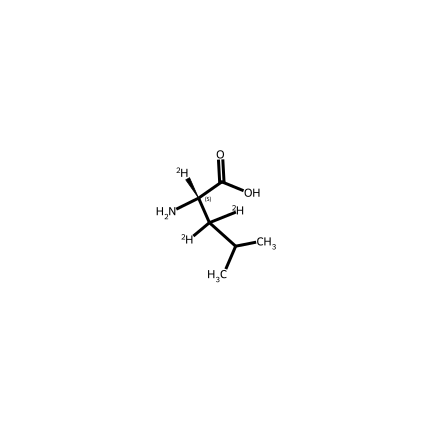 [2H]C([2H])(C(C)C)[C@]([2H])(N)C(=O)O